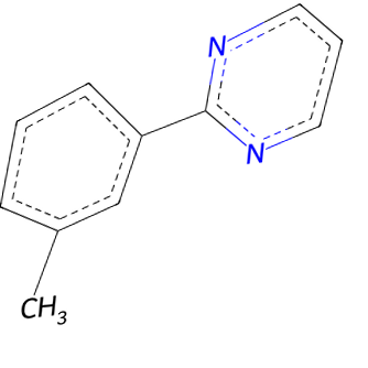 Cc1cccc(-c2ncccn2)c1